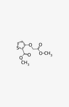 COC(=O)COc1ccsc1C(=O)OC